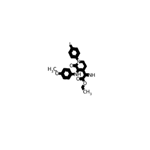 CCOC(=O)C(=N)C1=C(Nc2ccc(OC)cc2)C(=O)N(c2ccc(I)cc2)CC1